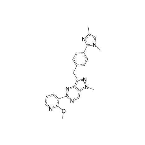 COc1ncccc1-c1ncc2c(n1)c(Cc1ccc(-c3nc(C)cn3C)cc1)nn2C